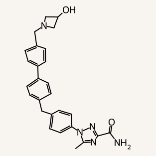 Cc1nc(C(N)=O)nn1-c1ccc(Cc2ccc(-c3ccc(CN4CC(O)C4)cc3)cc2)cc1